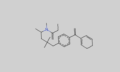 C=C(C1=CCCC=C1)c1ccc(CC(C)(C)CC(C)N(C)C(=C)CC)cc1